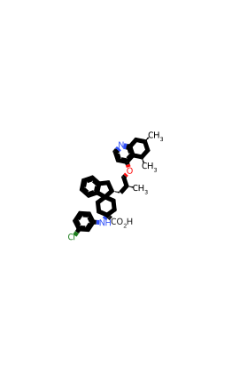 C[C@@H](COc1ccnc2c1[C@@H](C)C[C@@H](C)C2)C[C@H]1Cc2ccccc2C12CCC(Nc1cccc(Cl)c1)(C(=O)O)CC2